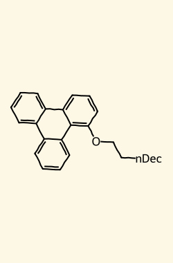 CCCCCCCCCCCCOc1cccc2c3ccccc3c3ccccc3c12